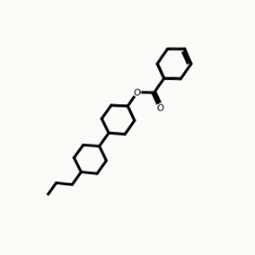 CCCC1CCC(C2CCC(OC(=O)C3CC=CCC3)CC2)CC1